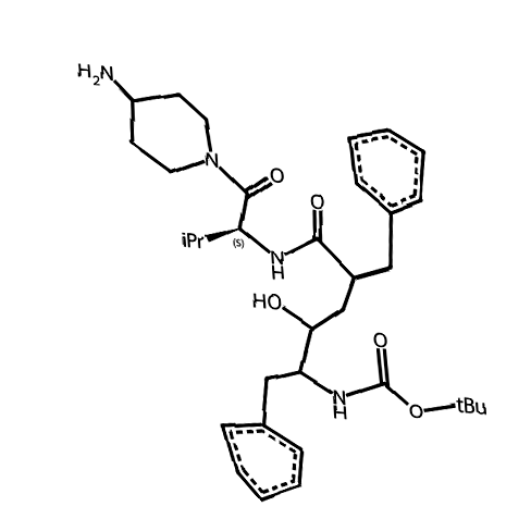 CC(C)[C@H](NC(=O)C(Cc1ccccc1)CC(O)C(Cc1ccccc1)NC(=O)OC(C)(C)C)C(=O)N1CCC(N)CC1